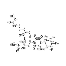 CC(C)(C)OC(=O)NCCCN(CCCC(C(=O)Oc1c(F)c(F)c(F)c(F)c1F)N(CCCNC(=O)OC(C)(C)C)C(=O)OC(C)(C)C)C(=O)OC(C)(C)C